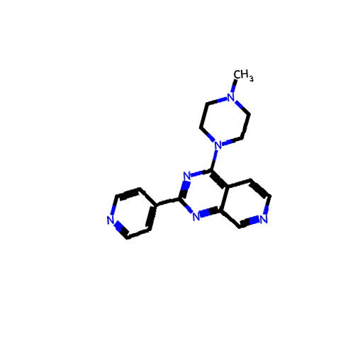 CN1CCN(c2nc(-c3ccncc3)nc3cnccc23)CC1